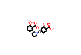 CN1CCCC1.O=C([O-])c1ccccc1O.O=C([O-])c1ccccc1O.[B+2]